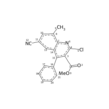 COC(=O)c1c(Cl)nc2c(C)cc(C#N)cc2c1-c1ccccc1